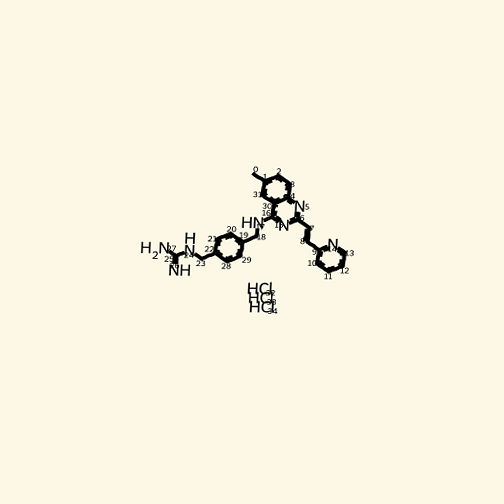 Cc1ccc2nc(C=Cc3ccccn3)nc(NCc3ccc(CNC(=N)N)cc3)c2c1.Cl.Cl.Cl